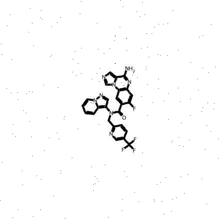 Nc1nc2cc(F)c(C(=O)N(Cc3ccc(C(F)(F)F)cn3)c3cnn4ccccc34)cc2n2cncc12